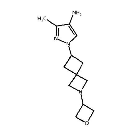 Cc1nn(C2CC3(C2)CN(C2COC2)C3)cc1N